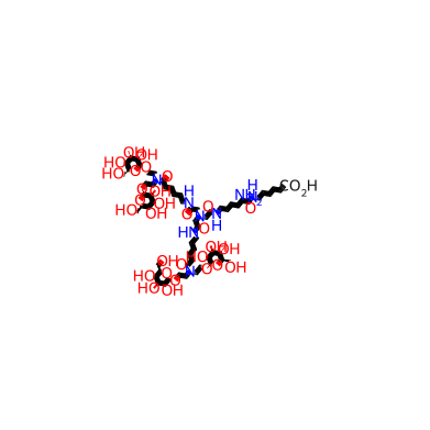 N[C@H](CCCCNC(=O)CN(CC(=O)NCCCCCC(=O)N(CCO[C@H]1O[C@H](CO)[C@@H](O)[C@H](O)[C@@H]1O)CCO[C@H]1O[C@H](CO)[C@@H](O)[C@H](O)[C@@H]1O)CC(=O)NCCCCCC(=O)N(CCO[C@H]1O[C@H](CO)[C@@H](O)[C@H](O)[C@@H]1O)CCO[C@H]1O[C@H](CO)[C@@H](O)[C@H](O)[C@@H]1O)C(=O)NCCCCCC(=O)O